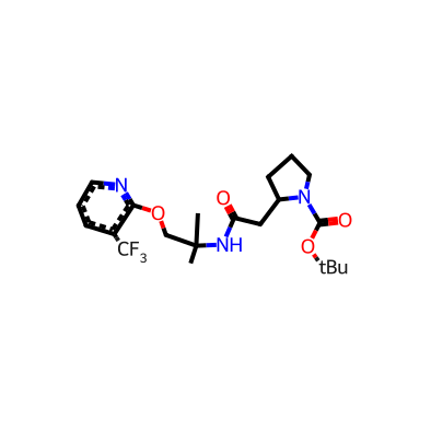 CC(C)(COc1ncccc1C(F)(F)F)NC(=O)CC1CCCN1C(=O)OC(C)(C)C